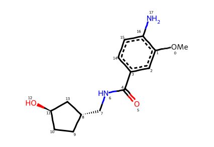 COc1cc(C(=O)NC[C@@H]2CC[C@@H](O)C2)ccc1N